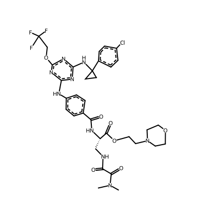 CN(C)C(=O)C(=O)NC[C@H](NC(=O)c1ccc(Nc2nc(NC3(c4ccc(Cl)cc4)CC3)nc(OCC(F)(F)F)n2)cc1)C(=O)OCCN1CCOCC1